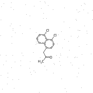 CC(=O)Cc1ccc(Cl)c2c(Cl)cccc12